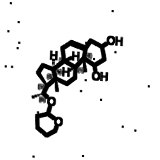 C[C@@H](OC1CCCCO1)[C@H]1CC[C@H]2[C@@H]3CC=C4CC(O)CC(O)[C@]4(C)[C@H]3CC[C@]12C